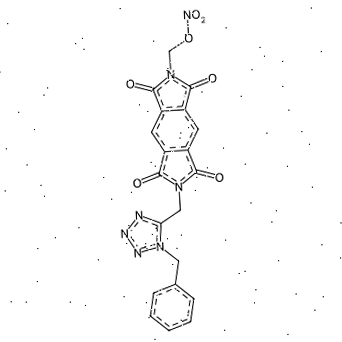 O=c1c2cc3c(=O)n(Cc4nnnn4Cc4ccccc4)c(=O)c3cc2c(=O)n1CO[N+](=O)[O-]